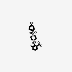 O=[N+]([O-])c1cccc(F)c1S(=O)(=O)N1CCN(S(=O)(=O)c2ccc(O)cc2)CC1